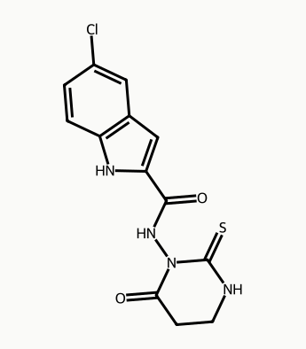 O=C(NN1C(=O)CCNC1=S)c1cc2cc(Cl)ccc2[nH]1